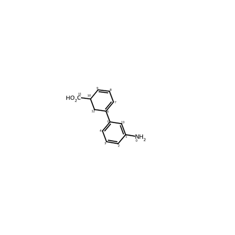 Nc1cccc(C2=CC=CC(C(=O)O)C2)c1